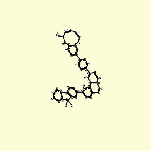 CCC1/C=C\C=C/Cc2cc(-c3ccc(C4=NC5c6nc(-c7ccc8c(c7)C(C)(C)c7ccccc7-8)ccc6C=CC5C=C4)cc3)ccc2S1